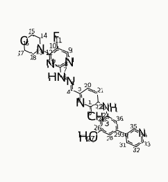 CC1N=C(/C=N/Nc2ncc(F)c(N3CCOCC3)n2)C=CC1Nc1cc(O)cc(-c2cccnc2)c1